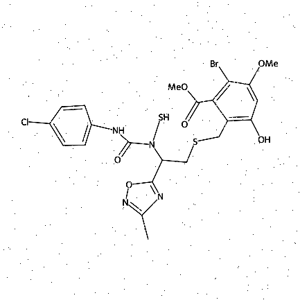 COC(=O)c1c(Br)c(OC)cc(O)c1CSCC(c1nc(C)no1)N(S)C(=O)Nc1ccc(Cl)cc1